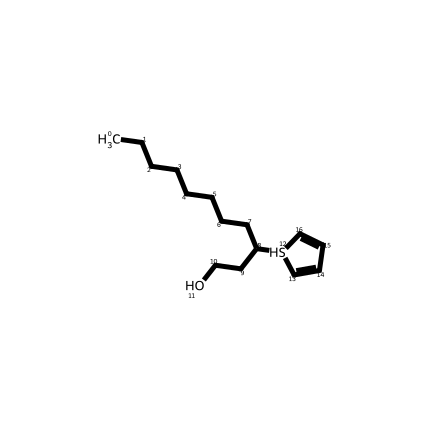 CCCCCCCCC(CCO)[SH]1C=CC=C1